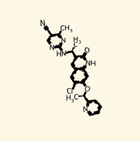 Cc1nc(N[C@@H](C)c2cc3cc(Cl)c(O[C@H](C)c4ccccn4)cc3[nH]c2=O)ncc1C#N